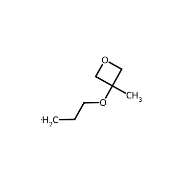 [CH2]CCOC1(C)COC1